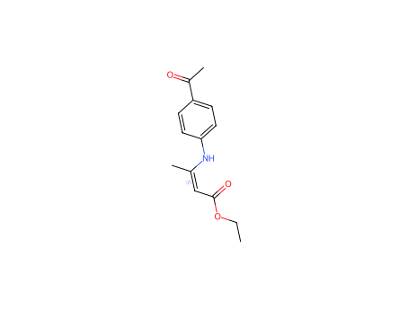 CCOC(=O)/C=C(/C)Nc1ccc(C(C)=O)cc1